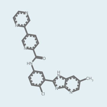 Cc1cnc2nc(-c3cc(NC(=O)c4ccc(-c5cnccn5)cn4)ccc3Cl)[nH]c2c1